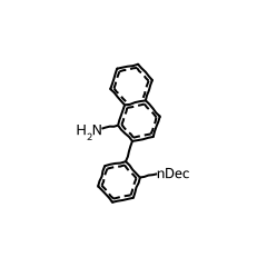 CCCCCCCCCCc1ccccc1-c1ccc2ccccc2c1N